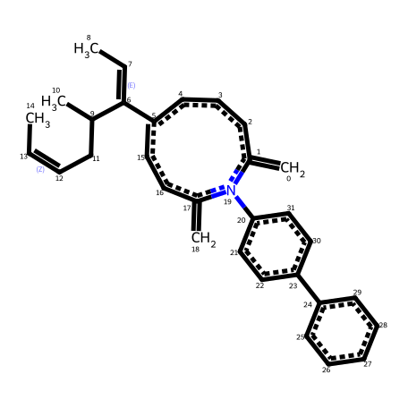 C=c1cccc(/C(=C/C)C(C)C/C=C\C)ccc(=C)n1-c1ccc(-c2ccccc2)cc1